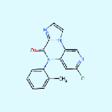 Cc1ccccc1-n1c(=O)c2nccn2c2cnc(Cl)cc21